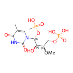 CO[C@H](COP(=O)(O)O)[C@@H](O)[C@@H](OP(C)(=O)O)n1cc(C)c(=O)[nH]c1=O